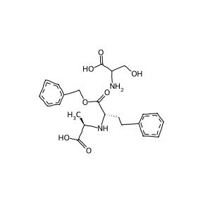 C[C@@H](N[C@@H](CCc1ccccc1)C(=O)OCc1ccccc1)C(=O)O.NC(CO)C(=O)O